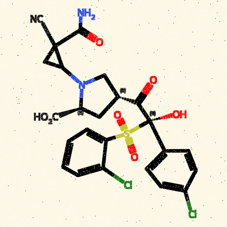 N#CC1(C(N)=O)CC1N1C[C@H](C(=O)[C@@](O)(c2ccc(Cl)cc2)S(=O)(=O)c2ccccc2Cl)C[C@H]1C(=O)O